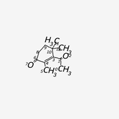 CC(=O)C1=C(C)C(=O)CCC1(C)C